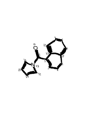 O=C(c1cccc2ccccc12)n1cccc1